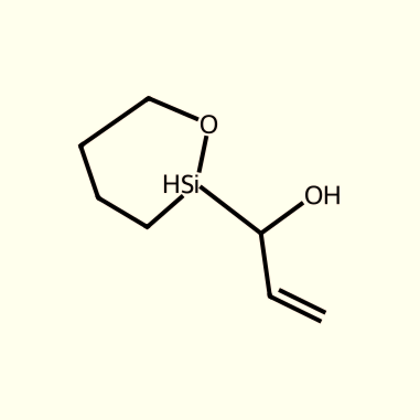 C=CC(O)[SiH]1CCCCO1